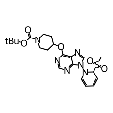 CC(C)(C)OC(=O)N1CCC(Oc2ncnc3c2ncn3N2C=CC=CC2S(C)(=O)=O)CC1